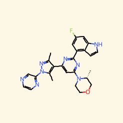 Cc1nn(-c2cnccn2)c(C)c1-c1cc(N2CCOC[C@H]2C)nc(-c2cc(F)cc3[nH]ccc23)n1